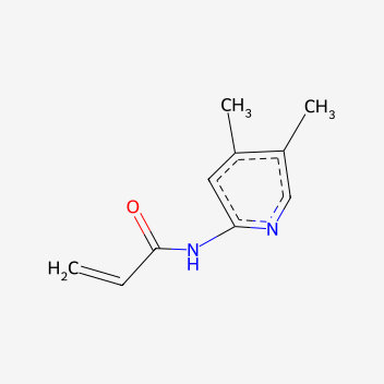 C=CC(=O)Nc1cc(C)c(C)cn1